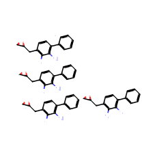 C.Nc1c(CC2CO2)ccc(-c2ccccc2)c1N.Nc1c(CC2CO2)ccc(-c2ccccc2)c1N.Nc1c(CC2CO2)ccc(-c2ccccc2)c1N.Nc1c(CC2CO2)ccc(-c2ccccc2)c1N